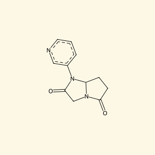 O=C1CCC2N1CC(=O)N2c1cccnc1